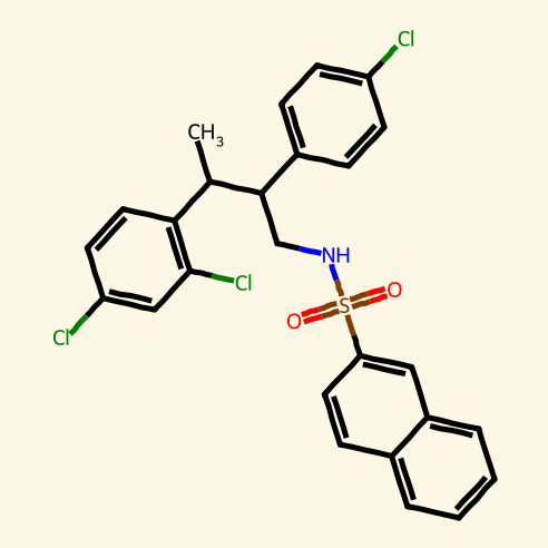 CC(c1ccc(Cl)cc1Cl)C(CNS(=O)(=O)c1ccc2ccccc2c1)c1ccc(Cl)cc1